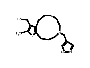 OCc1c(C(F)(F)F)sc2c1CCOCCN(Cc1cn[nH]c1)CCC2